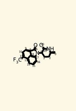 C=C1CCC(N2C(=O)c3ccc(C(F)(F)F)c4cccc2c34)C(=O)N1